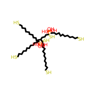 OP(O)(O)(CCCCCCCCCCCCS)C(S)CCCC(CCCCCCCCCCCCS)C(S)(CCCCCCCCCCCCS)P(O)(O)(O)CCCCCCCCCCCCS